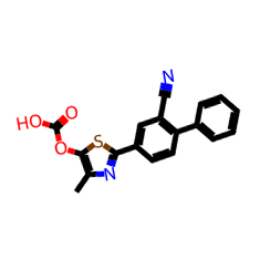 Cc1nc(-c2ccc(-c3ccccc3)c(C#N)c2)sc1OC(=O)O